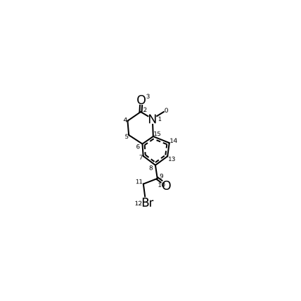 CN1C(=O)CCc2cc(C(=O)CBr)ccc21